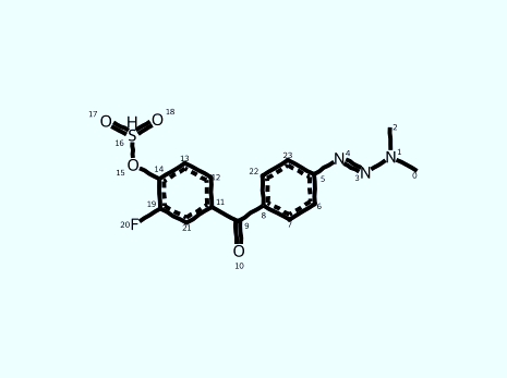 CN(C)N=Nc1ccc(C(=O)c2ccc(O[SH](=O)=O)c(F)c2)cc1